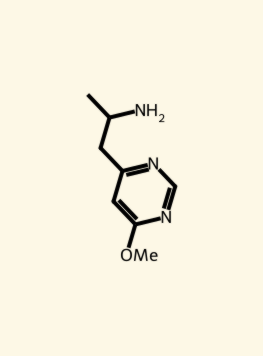 COc1cc(CC(C)N)ncn1